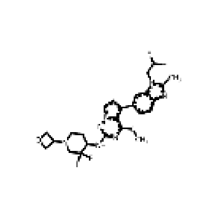 COc1nc(NC2CCN(C3COC3)CC2(F)F)nn2ccc(-c3ccc4nc(C)n(CC(F)F)c4c3)c12